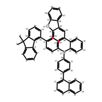 CC1(C)c2ccccc2-c2c(-c3ccc(N(c4ccc(-c5cccc6ccccc56)cc4)c4ccccc4-c4ccc5oc6ccccc6c5c4)cc3)cccc21